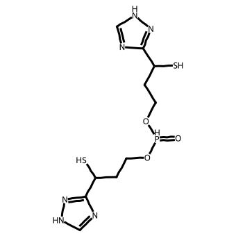 O=[PH](OCCC(S)c1nc[nH]n1)OCCC(S)c1nc[nH]n1